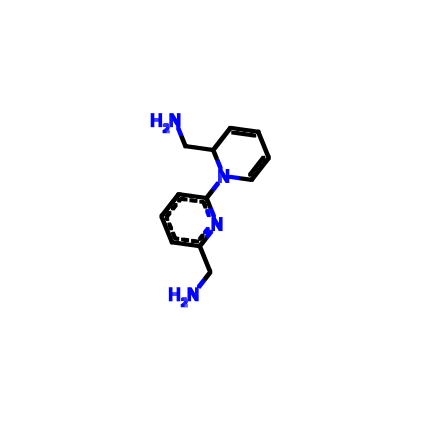 NCc1cccc(N2C=CC=CC2CN)n1